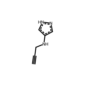 C#CCNc1cn[nH]c1